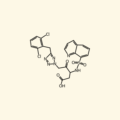 O=C(O)CC(NS(=O)(=O)c1cccc2cccnc12)C(=O)Cn1nnc(Cc2c(Cl)cccc2Cl)n1